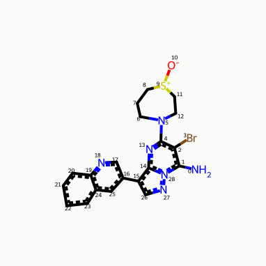 Nc1c(Br)c(N2CCC[S+]([O-])CC2)nc2c(-c3cnc4ccccc4c3)cnn12